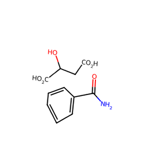 NC(=O)c1ccccc1.O=C(O)CC(O)C(=O)O